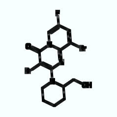 O=c1c(Br)c(N2CCCCC2CO)nc2c(Br)cc(F)cn12